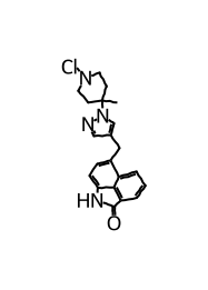 CC1(n2cc(Cc3ccc4c5c(cccc35)C(=O)N4)cn2)CCN(Cl)CC1